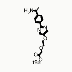 C[C@H](N)c1ccc(-c2ncc(OCCOCC(=O)OC(C)(C)C)cn2)cc1